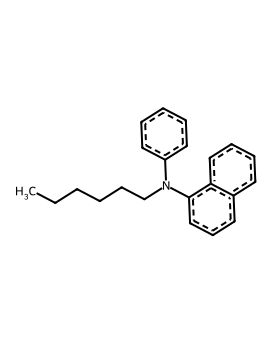 CCCCCCN(c1ccccc1)c1cccc2ccccc12